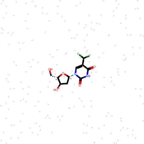 O=c1[nH]c(=O)n([C@@H]2CC(O)[C@H](CO)O2)cc1C(F)F